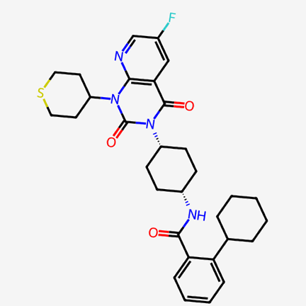 O=C(N[C@H]1CC[C@@H](n2c(=O)c3cc(F)cnc3n(C3CCSCC3)c2=O)CC1)c1ccccc1C1CCCCC1